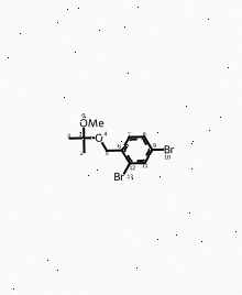 COC(C)(C)OCc1ccc(Br)cc1Br